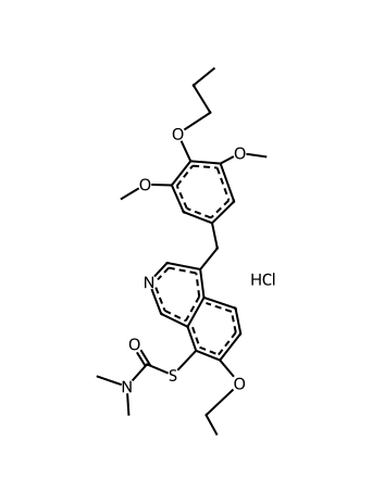 CCCOc1c(OC)cc(Cc2cncc3c(SC(=O)N(C)C)c(OCC)ccc23)cc1OC.Cl